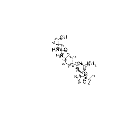 CC(C)S(=O)(=O)C1(c2cc(N)nc(-c3ccc(NC(=O)NC(C)(C)CO)cc3)n2)CC1